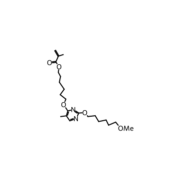 C=C(C)C(=O)OCCCCCCOc1nc(OCCCCCCOC)ncc1C